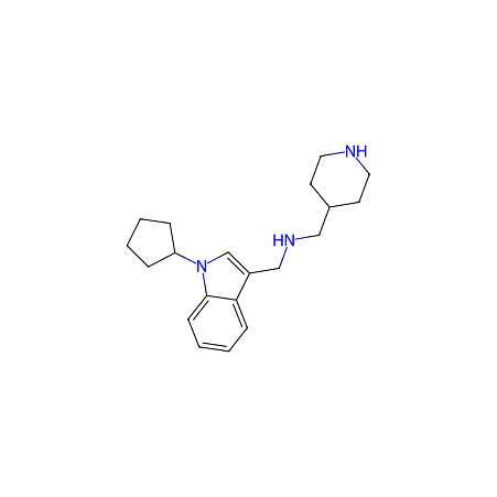 c1ccc2c(c1)c(CNCC1CCNCC1)cn2C1CCCC1